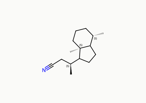 C[C@@H](CC#N)C1CCC2[C@@H](C)CCC[C@]12C